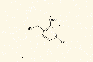 COc1cc(Br)ccc1CC(C)C